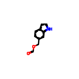 O=COCc1ccc2cc[nH]c2c1